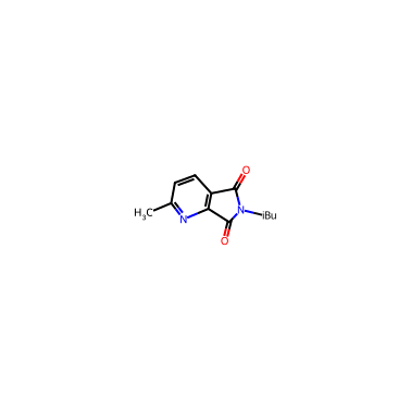 CCC(C)N1C(=O)c2ccc(C)nc2C1=O